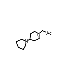 CC(=O)CN1CCC(N2CCCCC2)CC1